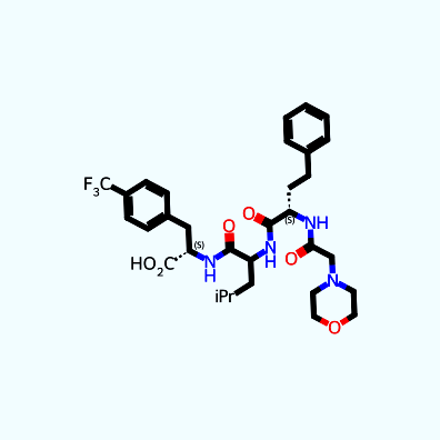 CC(C)CC(NC(=O)[C@H](CCc1ccccc1)NC(=O)CN1CCOCC1)C(=O)N[C@@H](Cc1ccc(C(F)(F)F)cc1)C(=O)O